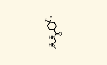 CBCNC(=O)C1CCC(F)(F)CC1